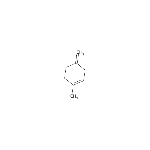 C=C1CC=C(C)CC1